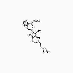 COc1cc(-c2[nH]c3ccc(CCC4CNC4)nc3c2C(C)C)cn2ncnc12